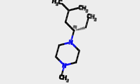 CC[C@@H](CC(C)C)N1CCN(C)CC1